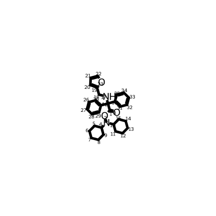 O=C(ON(C1CCCCC1)C1CCCCC1)C(NCc1ccco1)(c1ccccc1)c1ccccc1